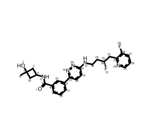 CC1(O)CC(NC(=O)c2cccc(-c3ccc(NCC[C@H](F)Cc4ncccc4F)nn3)c2)C1